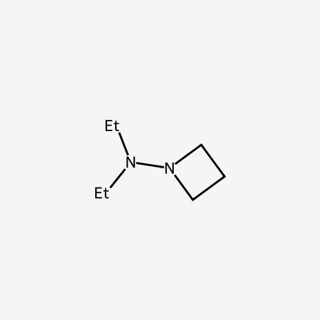 CCN(CC)N1CCC1